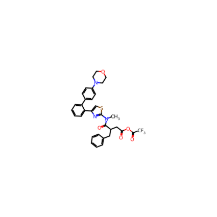 CN(C(=O)C(CC(=O)OC(=O)C(F)(F)F)Cc1ccccc1)c1nc(-c2ccccc2-c2ccc(N3CCOCC3)cc2)cs1